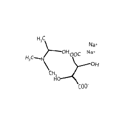 CC(O)N(C)C.O=C([O-])C(O)C(O)C(=O)[O-].[Na+].[Na+]